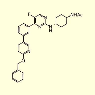 CC(=O)N[C@H]1CC[C@H](Nc2ncc(F)c(-c3cccc(-c4ccc(OCc5ccccc5)nc4)c3)n2)CC1